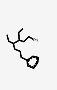 CCC(CCO)C(CC)CCCc1ccccc1